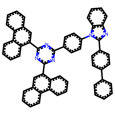 c1ccc(-c2ccc(-c3nc4ccccc4n3-c3ccc(-c4nc(-c5cc6ccccc6c6ccccc56)nc(-c5cc6ccccc6c6ccccc56)n4)cc3)cc2)cc1